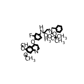 COc1cc2nccc(Oc3ccc(NC(=O)CN(Cc4ccccc4)C(=O)OC(C)(C)C)cc3F)c2cc1OC